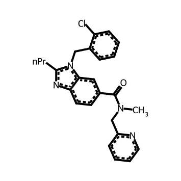 CCCc1nc2ccc(C(=O)N(C)Cc3ccccn3)cc2n1Cc1ccccc1Cl